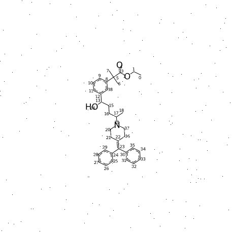 CCOC(=O)C(C)(C)c1cccc(C(O)CCC(C)N2CCC(=C(c3ccccc3)c3ccccc3)CC2)c1